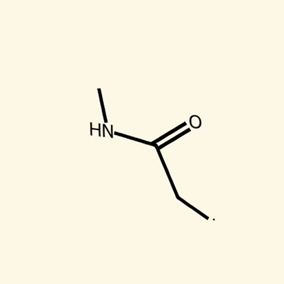 [CH2]CC(=O)NC